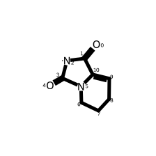 O=C1[N]C(=O)N2CCCC=C12